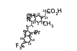 Cc1cc(C(CCc2sc3cc(C(F)(F)F)ccc3c2C(C)C)=NO)ccc1CCC(=O)O